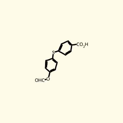 O=COc1ccc(Sc2ccc(C(=O)O)cc2)cc1